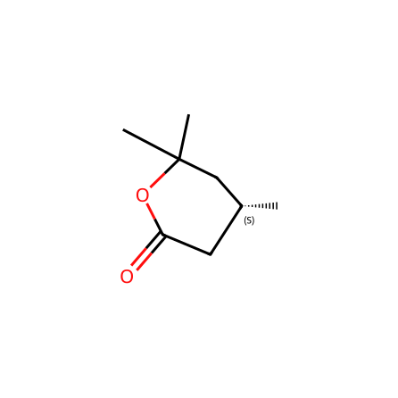 C[C@@H]1CC(=O)OC(C)(C)C1